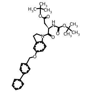 CC(C)(C)OC(=O)C[C@@H](NC(=O)OC(C)(C)C)C(=O)N1CCc2cc(OCc3ccc(-c4ccccc4)cc3)ccc21